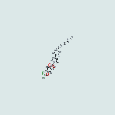 CCCCCCCCC[C@H]1CC[C@H]([C@H]2CC[C@H](C(=O)Oc3ccc(OC(F)F)cc3)CC2)CC1